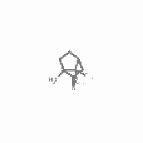 [CH2]C12CCC(CC1=O)C2([CH2])C